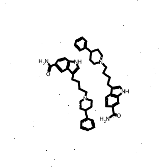 NC(=O)c1ccc2[nH]cc(CCCCN3CCC(c4ccccc4)CC3)c2c1.NC(=O)c1ccc2c(CCCCN3CCC(c4ccccc4)CC3)c[nH]c2c1